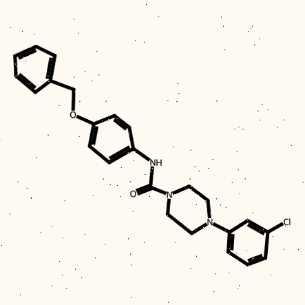 O=C(Nc1ccc(OCc2ccccc2)cc1)N1CCN(c2cccc(Cl)c2)CC1